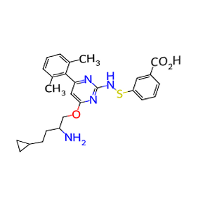 Cc1cccc(C)c1-c1cc(OCC(N)CCC2CC2)nc(NSc2cccc(C(=O)O)c2)n1